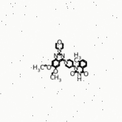 CCOc1cc2nc(N3CCOCC3)nc(N3CCC(n4c(=O)[nH]c(=O)c5cccc(C)c54)CC3)c2cc1OCC